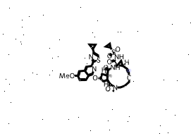 COc1ccc2c(O[C@@H]3C[C@H]4C(=O)N[C@]5(C(=O)NS(=O)(=O)C6CC6)C[C@H]5/C=C\CCCCN(C)C(=O)[C@@H]4C3)nc(-c3nc(C4CC4)cs3)cc2c1